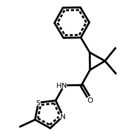 Cc1cnc(NC(=O)C2C(c3ccccc3)C2(C)C)s1